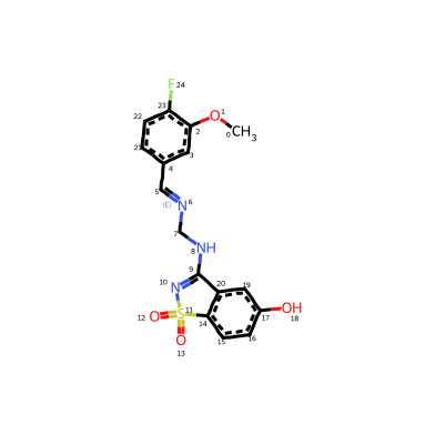 COc1cc(/C=N/CNC2=NS(=O)(=O)c3ccc(O)cc32)ccc1F